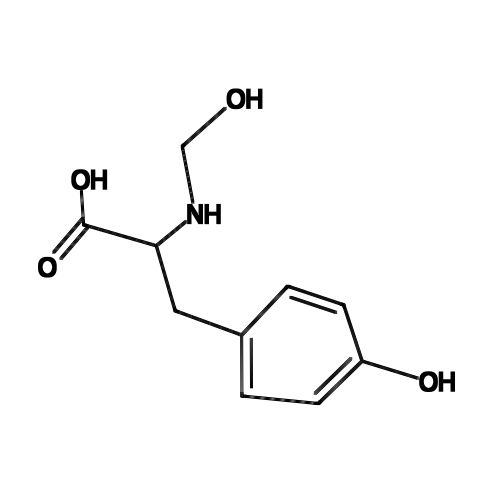 O=C(O)C(Cc1ccc(O)cc1)NCO